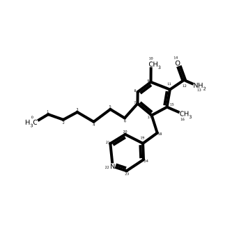 CCCCCCCc1cc(C)c(C(N)=O)c(C)c1Cc1ccncc1